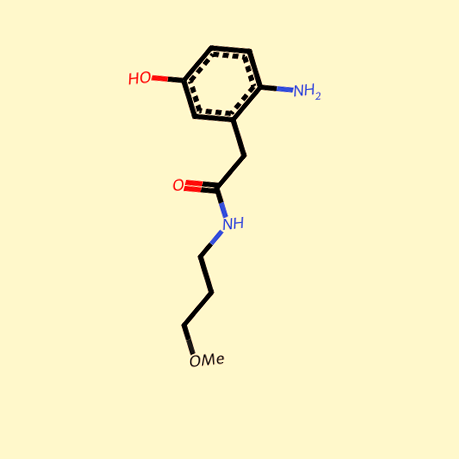 COCCCNC(=O)Cc1cc(O)ccc1N